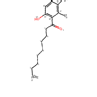 CCCCCCCCCCCCCCCCCC(=O)c1c(O)ccc(C(=O)O)c1CC